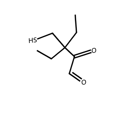 CCC(CC)(CS)C(=O)C=O